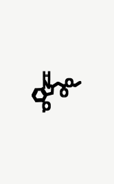 CCOC(=O)CC1Cc2c(cccc2OC)N1